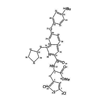 COC(=O)C(Cc1cc(Cl)sc1Cl)NC(=O)c1cc2ccc(Oc3ccc(C(C)(C)C)cc3)cc2c(CC2CCCC2)n1